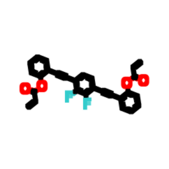 C=CC(=O)Oc1ccccc1C#Cc1ccc(C#Cc2ccccc2OC(=O)C=C)c(F)c1F